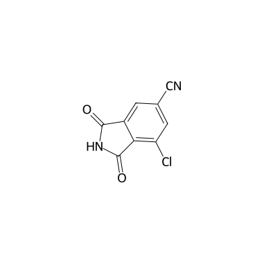 N#Cc1cc(Cl)c2c(c1)C(=O)NC2=O